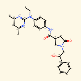 CCN(c1ccc(NC(=O)C2CC(=O)N(CC(O)c3ccccc3)C2)cc1)c1nc(C)cc(C)n1